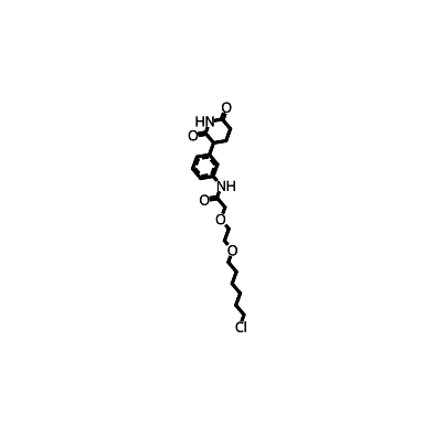 O=C1CCC(c2cccc(NC(=O)COCCOCCCCCCCl)c2)C(=O)N1